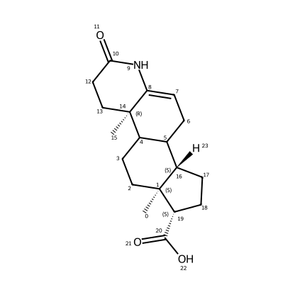 C[C@]12CCC3C(CC=C4NC(=O)CC[C@@]43C)[C@@H]1CC[C@@H]2C(=O)O